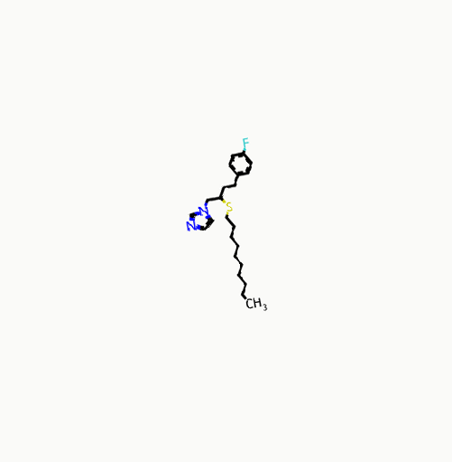 CCCCCCCCCCSC(CCc1ccc(F)cc1)Cn1ccnc1